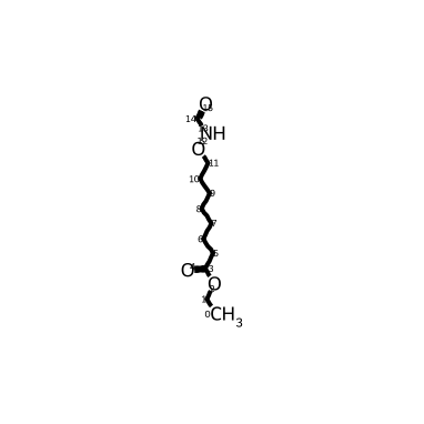 CCOC(=O)CCCCCCCONC=O